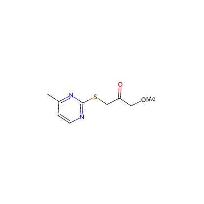 COCC(=O)CSc1nccc(C)n1